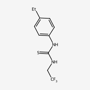 CCc1ccc(NC(=S)NCC(F)(F)F)cc1